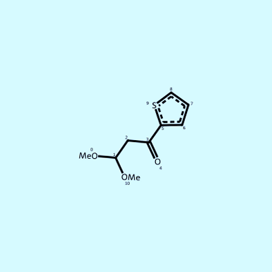 COC(CC(=O)c1cccs1)OC